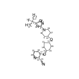 CC(C)(F)c1nc(N2CCC(O[C@H]3CC[C@H](Oc4cccnc4C#N)CC3)CC2)no1